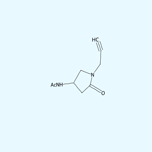 C#CCN1CC(NC(C)=O)CC1=O